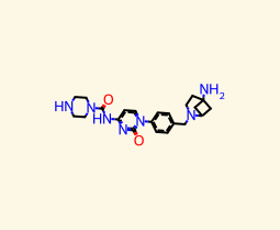 NC12CCN(Cc3ccc(-n4ccc(NC(=O)N5CCNCC5)nc4=O)cc3)C(C1)C2